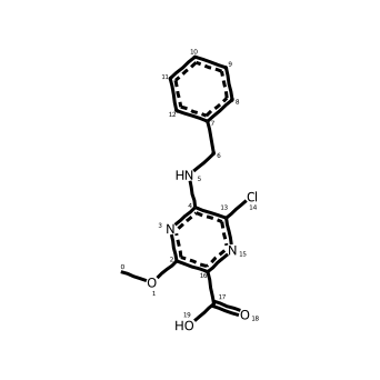 COc1nc(NCc2ccccc2)c(Cl)nc1C(=O)O